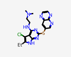 CCc1[nH]c2nc(Sc3cnc4nccnc4c3)nc(NCCN(C)C)c2c1Cl